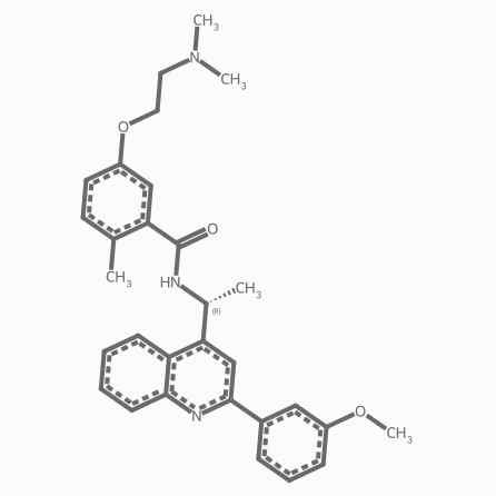 COc1cccc(-c2cc([C@@H](C)NC(=O)c3cc(OCCN(C)C)ccc3C)c3ccccc3n2)c1